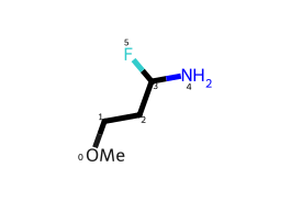 COCCC(N)F